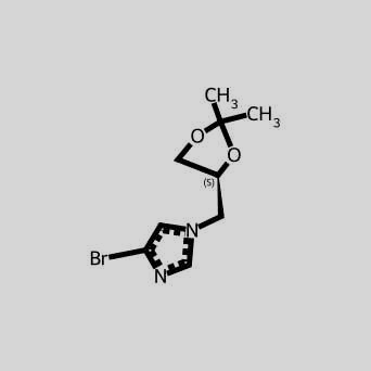 CC1(C)OC[C@H](Cn2cnc(Br)c2)O1